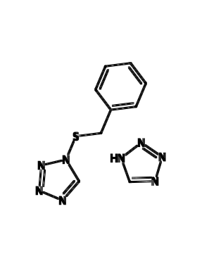 c1ccc(CSn2cnnn2)cc1.c1nnn[nH]1